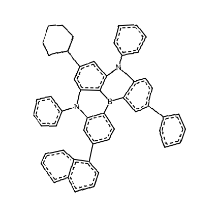 c1ccc(-c2ccc3c(c2)B2c4ccc(-c5cccc6ccccc56)cc4N(c4ccccc4)c4cc(C5CCCCC5)cc(c42)N3c2ccccc2)cc1